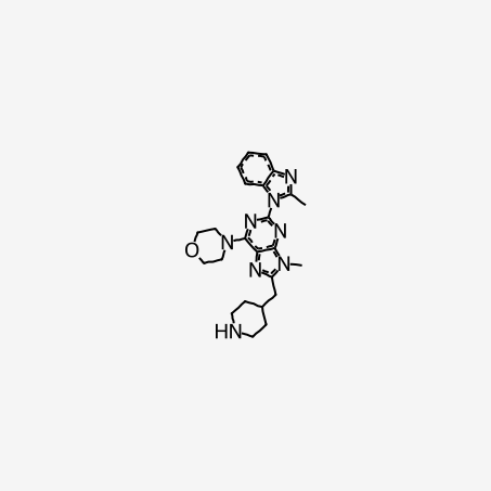 Cc1nc2ccccc2n1-c1nc(N2CCOCC2)c2nc(CC3CCNCC3)n(C)c2n1